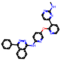 CNc1nccc(-c2cccnc2Oc2ccc(Nc3nnc(-c4ccccc4)c4ccccc34)nc2)n1